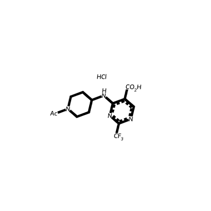 CC(=O)N1CCC(Nc2nc(C(F)(F)F)ncc2C(=O)O)CC1.Cl